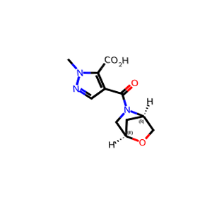 Cn1ncc(C(=O)N2C[C@H]3C[C@@H]2CO3)c1C(=O)O